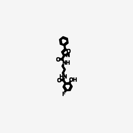 O=C(NCCCNC(=O)c1cc(F)ccc1O)c1cc(-c2ccccc2)on1